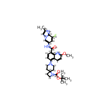 COc1ccc2c(N3CCC4(CC3)CCN4C(=O)OC(C)(C)C)ccc(C(=O)Nc3cc(F)c4nc(C)cn4c3)c2n1